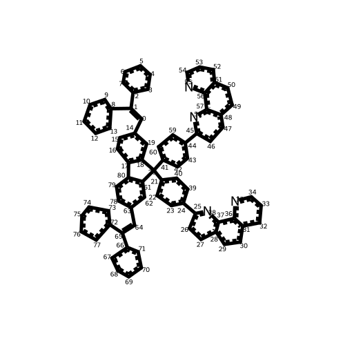 C(=C(c1ccccc1)c1ccccc1)c1ccc2c(c1)C(c1ccc(-c3ccc4ccc5cccnc5c4n3)cc1)(c1ccc(-c3ccc4ccc5cccnc5c4n3)cc1)c1cc(C=C(c3ccccc3)c3ccccc3)ccc1-2